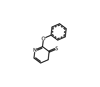 S=C1CC=CN=C1Oc1ccccc1